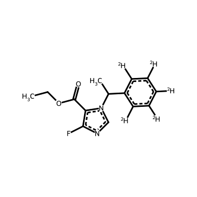 [2H]c1c([2H])c([2H])c(C(C)n2cnc(F)c2C(=O)OCC)c([2H])c1[2H]